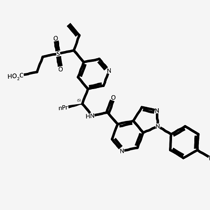 C=CC(c1cncc([C@H](CCC)NC(=O)c2cncc3c2cnn3-c2ccc(F)cc2)c1)S(=O)(=O)CCC(=O)O